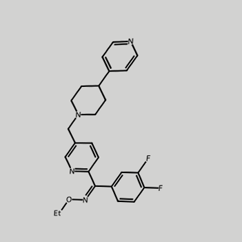 CCON=C(c1ccc(F)c(F)c1)c1ccc(CN2CCC(c3ccncc3)CC2)cn1